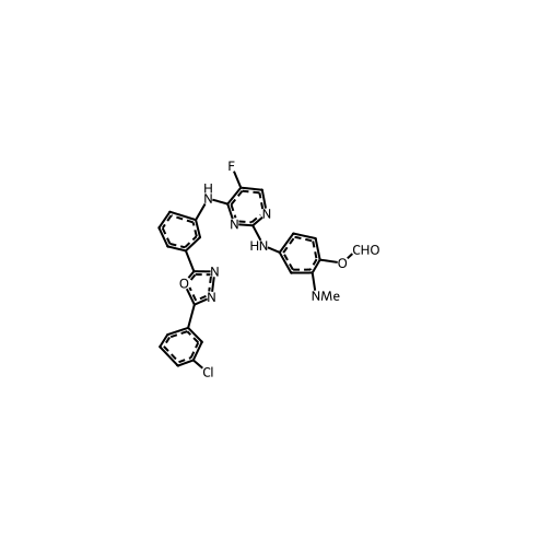 CNc1cc(Nc2ncc(F)c(Nc3cccc(-c4nnc(-c5cccc(Cl)c5)o4)c3)n2)ccc1OC=O